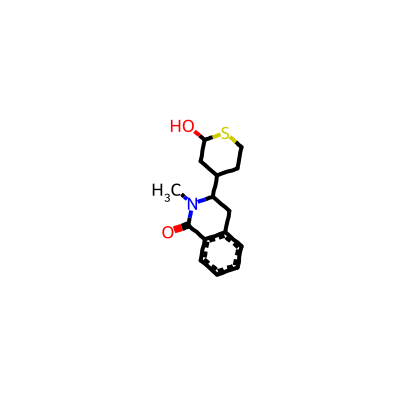 CN1C(=O)c2ccccc2CC1C1CCSC(O)C1